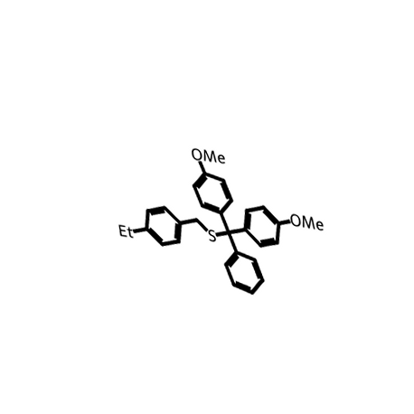 CCc1ccc(CSC(c2ccccc2)(c2ccc(OC)cc2)c2ccc(OC)cc2)cc1